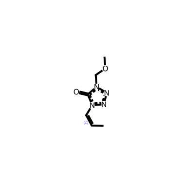 C/C=C\n1nnn(COC)c1=O